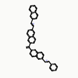 C(=C\c1ccc2cc(Nc3ccc4cc(/C=C/c5ccc6ccccc6c5)ccc4c3)ccc2c1)/c1ccccc1